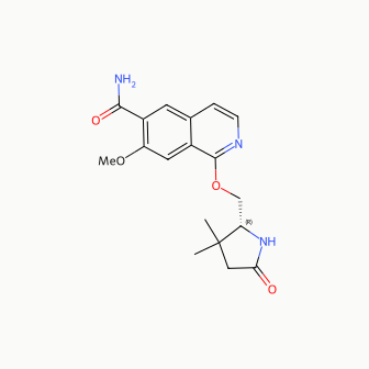 COc1cc2c(OC[C@@H]3NC(=O)CC3(C)C)nccc2cc1C(N)=O